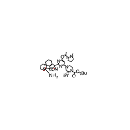 CC(C)[C@@H]1CN(c2cc(O[C@@H](C)[C@@H]3CCCN3C)nc(-c3noc4c3CCC[C@@]43CCCc4sc(N)c(C#N)c43)n2)CCN1C(=O)OC(C)(C)C